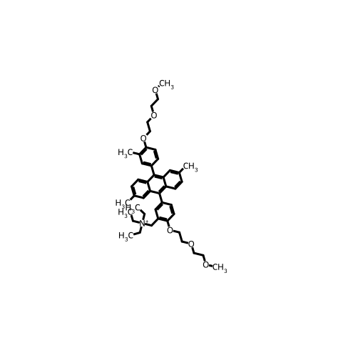 CC[N+](CC)(CC)Cc1cc(-c2c3ccc(C)cc3c(-c3ccc(OCCOCCOC)c(C)c3)c3ccc(C)cc23)ccc1OCCOCCOC